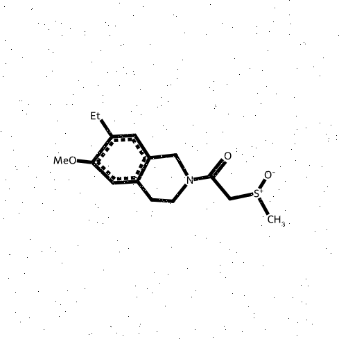 CCc1cc2c(cc1OC)CCN(C(=O)C[S+](C)[O-])C2